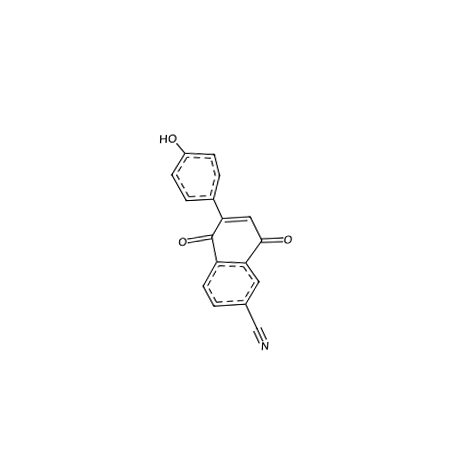 N#Cc1ccc2c(c1)C(=O)C=C(c1ccc(O)cc1)C2=O